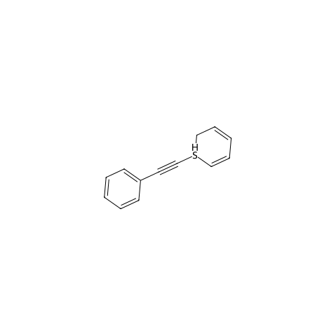 C(#C[SH]1C=CC=CC1)c1ccccc1